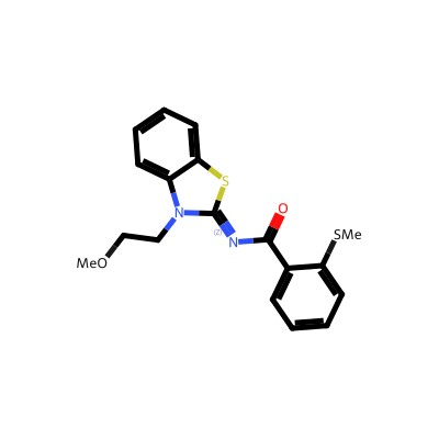 COCCn1/c(=N/C(=O)c2ccccc2SC)sc2ccccc21